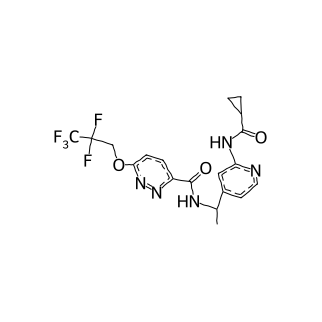 CC(NC(=O)c1ccc(OCC(F)(F)C(F)(F)F)nn1)c1ccnc(NC(=O)C2CC2)c1